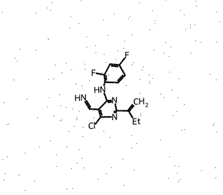 C=C(CC)c1nc(Cl)c(C=N)c(Nc2ccc(F)cc2F)n1